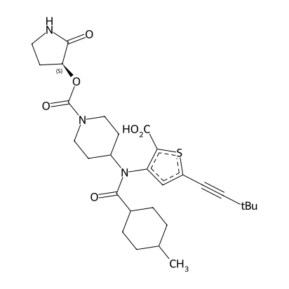 CC1CCC(C(=O)N(c2cc(C#CC(C)(C)C)sc2C(=O)O)C2CCN(C(=O)O[C@H]3CCNC3=O)CC2)CC1